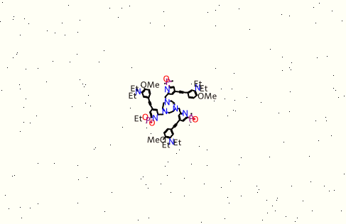 CCOP(C)(=O)c1cc(C#Cc2ccc(OC)c(N(CC)CC)c2)cc(CN2CCN(Cc3cc(C#Cc4ccc(OC)c(N(CC)CC)c4)cc(P(C)(C)=O)n3)CCN(Cc3cc(C#Cc4ccc(OC)c(N(CC)CC)c4)cc(P(C)(C)=O)n3)CC2)n1